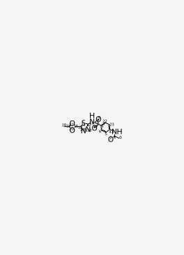 CC(=O)Nc1ccc(S(=O)(=O)Nc2nnc(C3OC(C)O3)s2)cc1